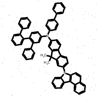 CC1(C)c2cc(N(c3ccc(-c4ccccc4)cc3)c3ccc(-c4ccccc4-c4ccccc4)c(-c4ccccc4)c3)ccc2-c2ccc(-n3c4ccccc4c4c5ccccc5ccc43)cc21